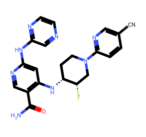 N#Cc1ccc(N2CC[C@@H](Nc3cc(Nc4cnccn4)ncc3C(N)=O)[C@@H](F)C2)nc1